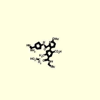 COc1ccc(-c2cc(C)c(C(=O)NCC(C)(C)C)cc2C(=O)O)c(C(=O)Nc2ccc(C(=N)N)cc2)n1.CS(=O)(=O)O